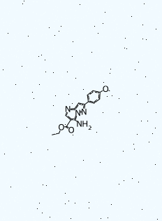 CCOC(=O)c1cnc2cc(-c3ccc(OC)cc3)nn2c1N